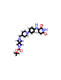 CC(C)(C)OC(=O)N1CC2(CN(CC3CCN(c4ccc(NC5CCC(=O)NC5=O)cc4)CC3)C2)C1